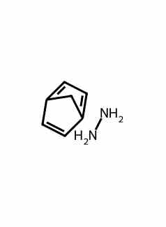 C1=CC2=CC=C1C2.NN